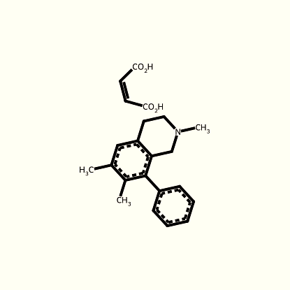 Cc1cc2c(c(-c3ccccc3)c1C)CN(C)CC2.O=C(O)/C=C\C(=O)O